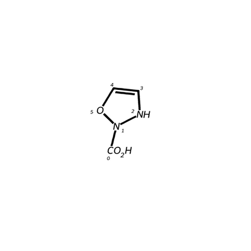 O=C(O)N1NC=CO1